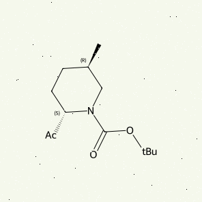 CC(=O)[C@@H]1CC[C@@H](C)CN1C(=O)OC(C)(C)C